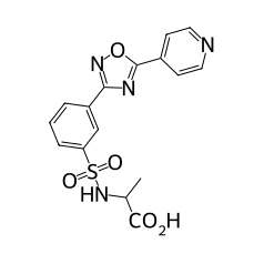 CC(NS(=O)(=O)c1cccc(-c2noc(-c3ccncc3)n2)c1)C(=O)O